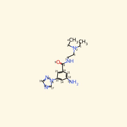 CCN(CC)CCNC(=O)c1cc(N)cc(-n2cncn2)c1